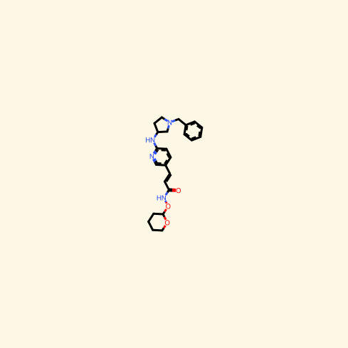 O=C(C=Cc1ccc(NC2CCN(Cc3ccccc3)C2)nc1)NOC1CCCCO1